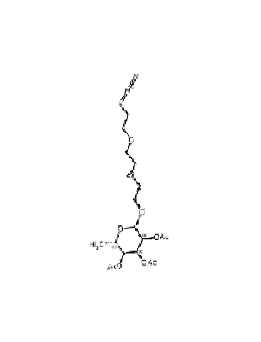 CC(=O)OC1[C@H](C)OC(OCCOCCOCCN=[N+]=[N-])[C@@H](OC(C)=O)[C@H]1OC(C)=O